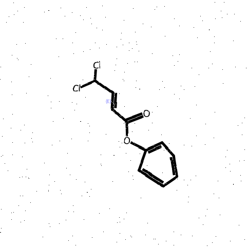 O=C(/C=C/C(Cl)Cl)Oc1ccccc1